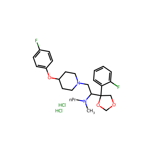 CCCN(C)C(CN1CCC(Oc2ccc(F)cc2)CC1)C1(c2ccccc2F)COCO1.Cl.Cl